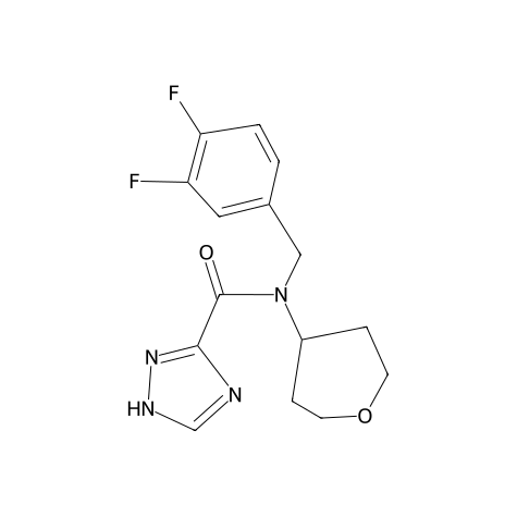 O=C(c1nc[nH]n1)N(Cc1ccc(F)c(F)c1)C1CCOCC1